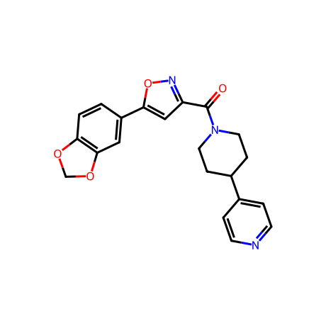 O=C(c1cc(-c2ccc3c(c2)OCO3)on1)N1CCC(c2ccncc2)CC1